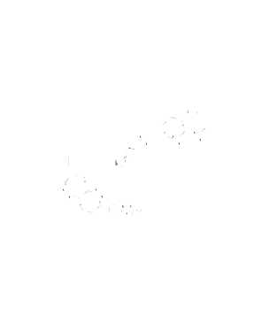 COc1ccc2ncc(F)c(CCC34CCC(N(C)Cc5ccc6c(n5)N=CCO6)(CC3)CO4)c2n1